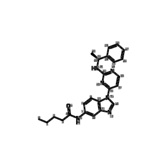 CCCCC(=O)Nc1ccc2c(c1)ncn2-c1ccnc(N[C@@H](C)c2ccccc2)n1